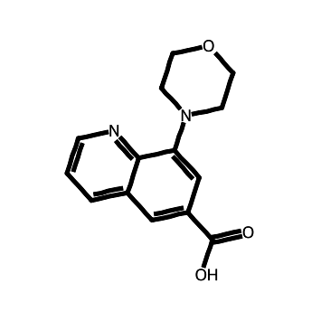 O=C(O)c1cc(N2CCOCC2)c2ncccc2c1